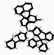 Fc1cccc(-c2cccc3cccc(-c4ccc(N(c5ccc6c(c5)C(c5ccccc5)(c5ccccc5)c5ccccc5-6)c5ccc6c(c5)oc5ccccc56)cc4)c23)c1